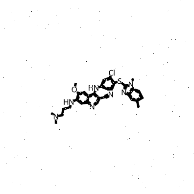 COc1cc2c(Nc3ccc(Sc4nc5cc(C)ccc5n4C)c(Cl)c3)c(C#N)cnc2cc1NCCCN(C)C